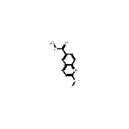 CC(C)(C)OC(=O)c1ccc2nc(OI)ccc2c1